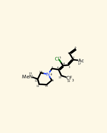 C=C/C(=C\C(Cl)=C(\CN1CCCC(NC)C1)CC(F)(F)F)C(C)=O